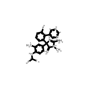 Cc1cc(C2(c3cccc(F)c3-c3cncnc3)N=C(N)N(C)C2=O)ccc1OC(F)F